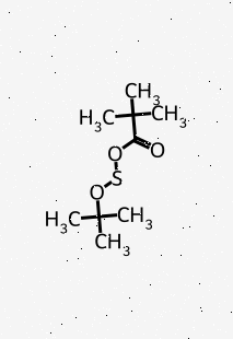 CC(C)(C)OSOC(=O)C(C)(C)C